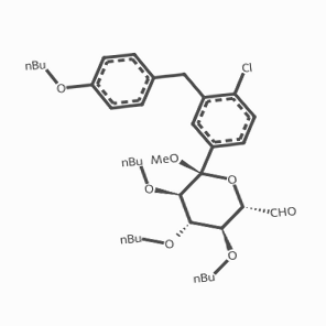 CCCCOc1ccc(Cc2cc([C@]3(OC)O[C@H](C=O)[C@@H](OCCCC)[C@H](OCCCC)[C@H]3OCCCC)ccc2Cl)cc1